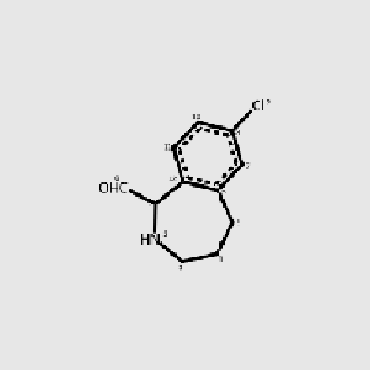 O=CC1NCCCc2cc(Cl)ccc21